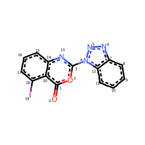 O=c1oc(-n2nnc3ccccc32)nc2cccc(I)c12